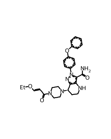 CCO/C=C/C(=O)N1CCN([C@@H]2CCNc3c2nn(-c2ccc(Oc4ccccc4)cc2)c3C(N)=O)CC1